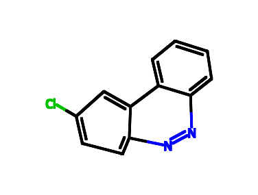 Clc1ccc2nnc3ccccc3c2c1